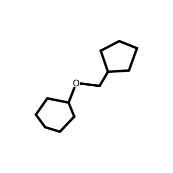 C1CCC(OCC2CCCC2)CC1